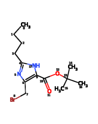 CCCCc1nc(CBr)c(C(=O)OC(C)(C)C)[nH]1